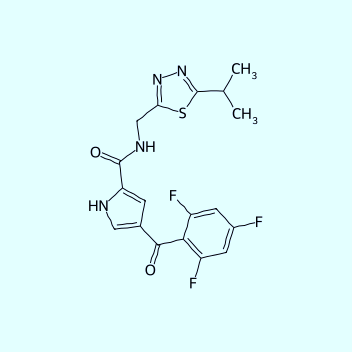 CC(C)c1nnc(CNC(=O)c2cc(C(=O)c3c(F)cc(F)cc3F)c[nH]2)s1